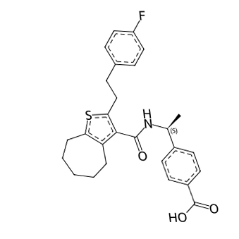 C[C@H](NC(=O)c1c(CCc2ccc(F)cc2)sc2c1CCCCC2)c1ccc(C(=O)O)cc1